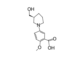 COc1ccc(N2CCC[C@H](CO)C2)cc1C(=O)O